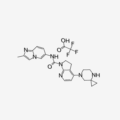 Cc1cn2cc(NC(=O)N3CCc4c(N5CCNC6(CC6)C5)ccnc43)ccc2n1.O=C(O)C(F)(F)F